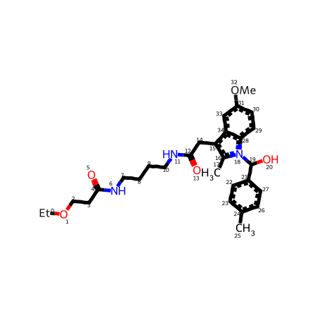 CCOCCC(=O)NCCCCNC(=O)Cc1c(C)n(C(O)c2ccc(C)cc2)c2ccc(OC)cc12